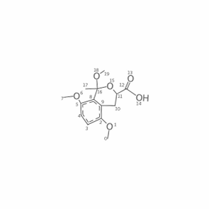 COc1ccc(OC)c2c1CC(C(=O)O)OC2(C)OC